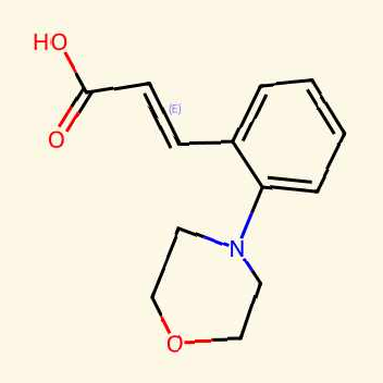 O=C(O)/C=C/c1ccccc1N1CCOCC1